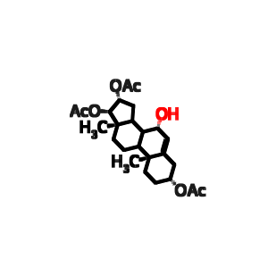 CC(=O)O[C@@H]1CC[C@@]2(C)C(=C[C@@H](O)C3C2CC[C@@]2(C)C3C[C@@H](OC(C)=O)[C@@H]2OC(C)=O)C1